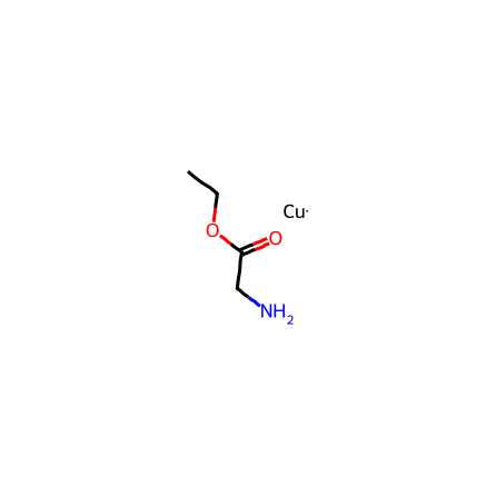 CCOC(=O)CN.[Cu]